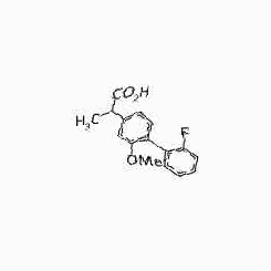 COc1cc(C(C)C(=O)O)ccc1-c1ccccc1F